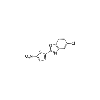 O=[N+]([O-])c1ccc(-c2nc3cc(Cl)ccc3o2)s1